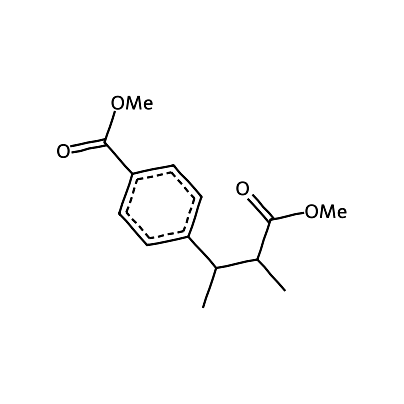 COC(=O)c1ccc(C(C)C(C)C(=O)OC)cc1